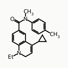 CCN1CC=C(C2CC2)c2cc(C(=O)N(C)c3ccc(C)cc3)ccc21